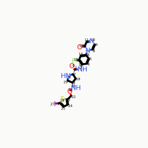 O=C(Nc1ccc(-n2ccncc2=O)cc1F)[C@@H]1C[C@H](NOCc2ccc(I)s2)CN1